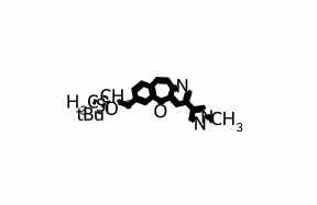 Cn1cc(-c2cnc3ccc4ccc(CCO[Si](C)(C)C(C)(C)C)cc4c(=O)c3c2)cn1